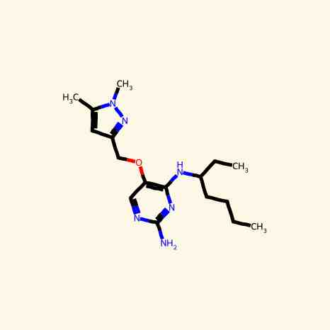 CCCCC(CC)Nc1nc(N)ncc1OCc1cc(C)n(C)n1